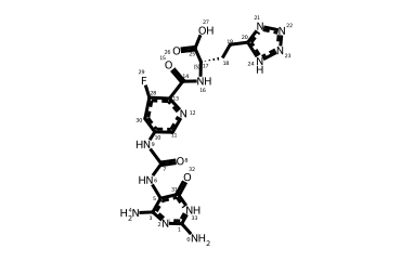 Nc1nc(N)c(NC(=O)Nc2cnc(C(=O)N[C@@H](CCc3nnn[nH]3)C(=O)O)c(F)c2)c(=O)[nH]1